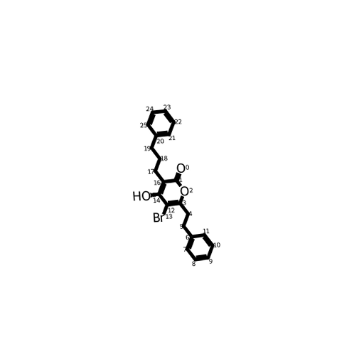 O=c1oc(CCc2ccccc2)c(Br)c(O)c1CCCc1ccccc1